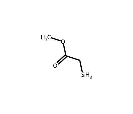 COC(=O)C[SiH3]